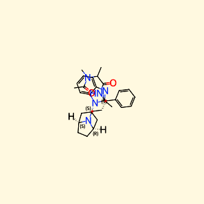 CC(=O)N(C)C(C)C(=O)N[C@@H](CCN1[C@@H]2CC[C@H]1C[C@H](n1c(C)nc3ccccc31)C2)c1ccccc1